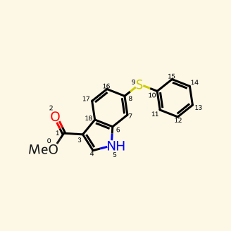 COC(=O)c1c[nH]c2cc(Sc3ccccc3)ccc12